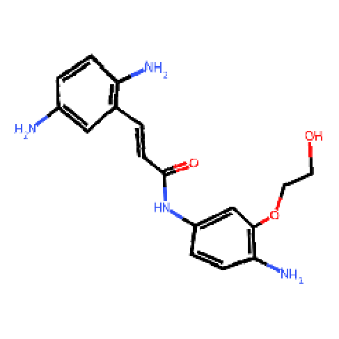 Nc1ccc(N)c(C=CC(=O)Nc2ccc(N)c(OCCO)c2)c1